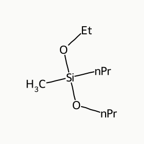 CCCO[Si](C)(CCC)OCC